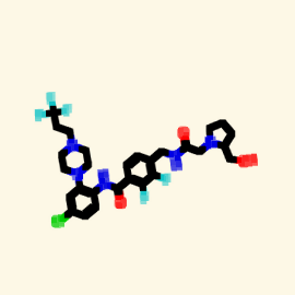 O=C(CN1CCCC1CO)NCc1ccc(C(=O)Nc2ccc(Cl)cc2N2CCN(CCC(F)(F)F)CC2)c(F)c1F